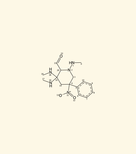 CNN1CC(c2ccccc2)([N+](=O)[O-])CC(NC)(NC)C1C=O